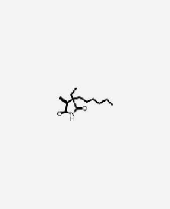 C=C1C(=O)NC(=O)C1(CC)CCCCCC